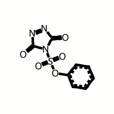 O=C1N=NC(=O)N1S(=O)(=O)Oc1ccccc1